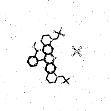 COC(=O)c1ccccc1-c1c2cc3c(cc2[o+]c2cc4c(cc12)CCCN4CC(F)(F)F)N(CC(F)(F)F)CCC3.[O-][Cl+3]([O-])([O-])[O-]